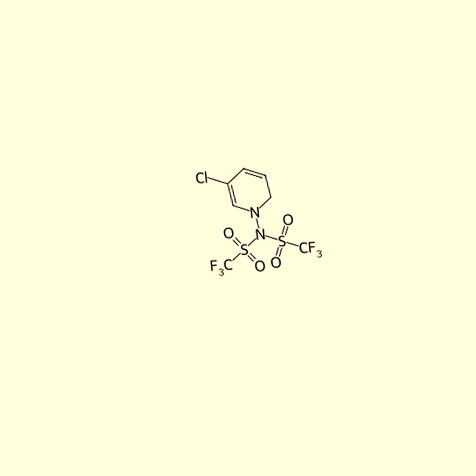 O=S(=O)(N(N1C=C(Cl)C=CC1)S(=O)(=O)C(F)(F)F)C(F)(F)F